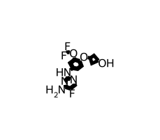 Nc1nc(Nc2ccc(OC3CC(O)C3)c(OC(F)F)c2)ncc1F